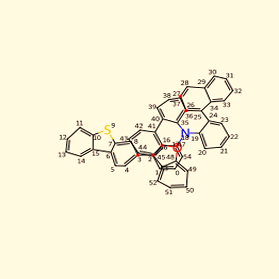 c1cc(-c2ccc3c(c2)sc2ccccc23)cc(N(c2ccccc2-c2cccc3ccccc23)c2ccccc2-c2cccc3c2oc2ccccc23)c1